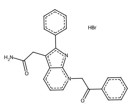 Br.NC(=O)Cc1c2cccn(CC(=O)c3ccccc3)c-2nc1-c1ccccc1